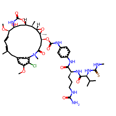 CNC(=S)N[C@H](C(=O)N[C@@H](CCCNC(N)=O)C(=O)Nc1ccc(NC(=O)O[C@H]2CC(=O)N(C)c3cc(cc(OC)c3Cl)C/C(C)=C/C=C/[C@@H](OC)[C@@]3(O)C[C@H](OC(=O)N3)[C@@H](C)[C@@H]3O[C@@]23C)cc1)C(C)C